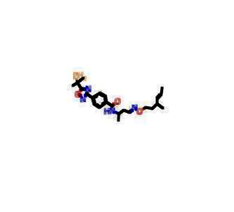 CC=CC(C)CCO/N=C/CC(C)NC(=O)c1ccc(-c2noc(C(C)(C)P)n2)cc1